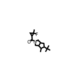 CC1C2CN(C(=O)C3CC3(C)F)CC2CC1C(C)(C)C